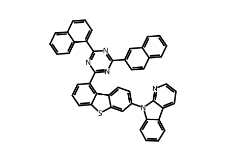 c1ccc2cc(-c3nc(-c4cccc5ccccc45)nc(-c4cccc5sc6cc(-n7c8ccccc8c8cccnc87)ccc6c45)n3)ccc2c1